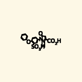 O=C(O)c1cc(=O)n(-c2ccc(Oc3ccccc3)c(S(=O)(=O)O)c2)[nH]1